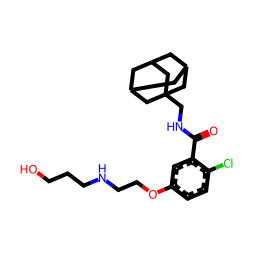 O=C(NCC12CC3CC(CC(C3)C1)C2)c1cc(OCCNCCCO)ccc1Cl